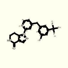 O=C1NCCc2c1cnn2-c1cc(Cc2cc(F)cc(C(F)(F)F)c2)ccn1